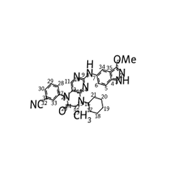 COc1n[nH]c2ccc(Nc3ncc4c(n3)N(C3CCCCC3)[C@H](C)C(=O)N4c3cccc(C#N)c3)cc12